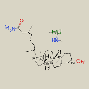 CC(CCCC(C)[C@H]1CC[C@H]2[C@@H]3CC=C4C[C@@H](O)CC[C@]4(C)[C@H]3CC[C@]12C)CC(N)=O.CCNC.Cl